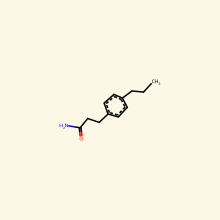 CCCc1ccc(CCC(N)=O)cc1